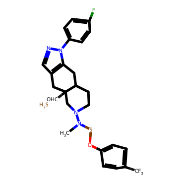 CN(SOc1ccc(C(F)(F)F)cc1)N1CCC2Cc3c(cnn3-c3ccc(F)cc3)CC2(C=O)C1.S